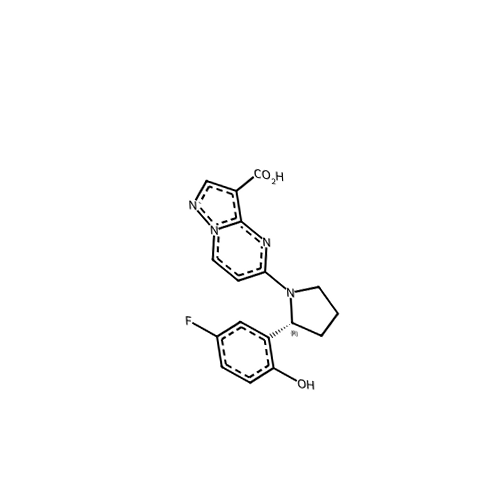 O=C(O)c1cnn2ccc(N3CCC[C@@H]3c3cc(F)ccc3O)nc12